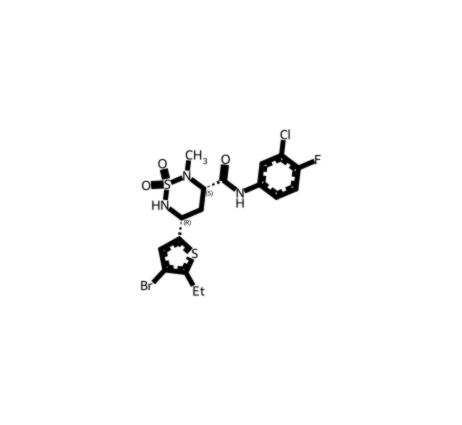 CCc1sc([C@H]2C[C@@H](C(=O)Nc3ccc(F)c(Cl)c3)N(C)S(=O)(=O)N2)cc1Br